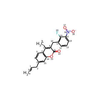 C=CCc1ccc2c(C)c(Cc3cccc([N+](=O)[O-])c3F)c(=O)oc2c1